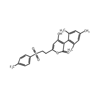 Cc1cc(C)c(-c2c(O)cc(CCS(=O)(=O)c3ccc(C(F)(F)F)cc3)oc2=O)c(C)c1